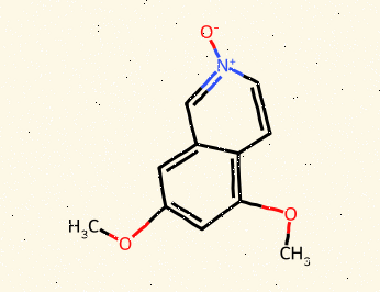 COc1cc(OC)c2cc[n+]([O-])cc2c1